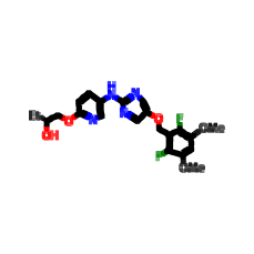 CC[C@H](O)COc1ccc(Nc2ncc(OCc3c(F)c(OC)cc(OC)c3F)cn2)cn1